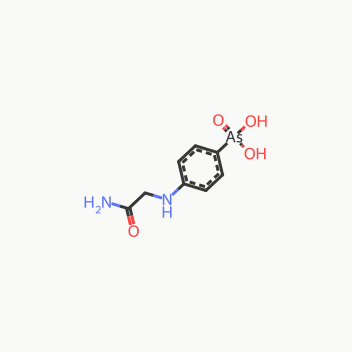 NC(=O)CNc1ccc([As](=O)(O)O)cc1